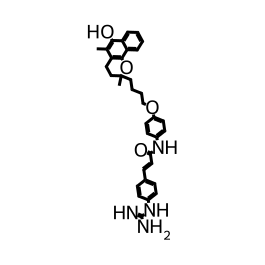 Cc1c2c(c3ccccc3c1O)OC(C)(CCCCOc1ccc(NC(=O)C=Cc3ccc(NC(=N)N)cc3)cc1)CC2